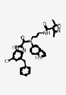 Cc1noc(C)c1C(=O)NCCCN(C(=O)c1nc2c(Cc3ccccc3)cc(Cl)cc2[nH]1)c1ccc2[nH]ccc2c1